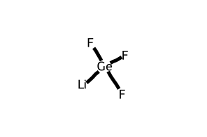 [Li][Ge]([F])([F])[F]